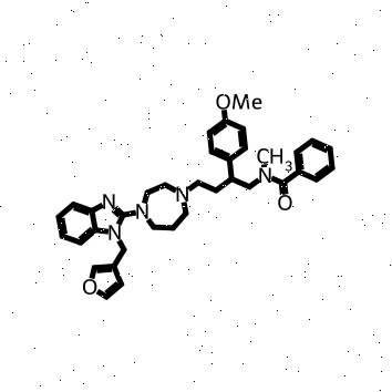 COc1ccc(C(CCN2CCCN(c3nc4ccccc4n3Cc3ccoc3)CC2)CN(C)C(=O)c2ccccc2)cc1